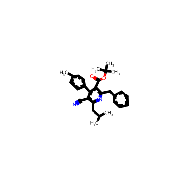 Cc1ccc(-c2c(C#N)c(CC(C)C)nc(Cc3ccccc3)c2C(=O)OC(C)(C)C)cc1